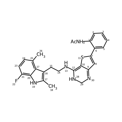 CC(=O)Nc1ccccc1-c1cc2c(s1)=C(NCCc1c(C)[nH]c3c(F)ccc(C)c13)NCN=2